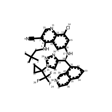 CC(C)(C)CNc1c(C#N)cnc2c(Cl)cc(N[C@H](c3cn(C4(C(F)(F)F)CC4)nn3)c3cccc4ccncc34)cc12